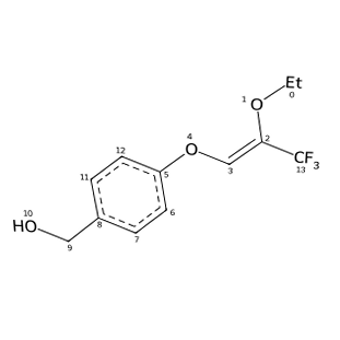 CCO/C(=C\Oc1ccc(CO)cc1)C(F)(F)F